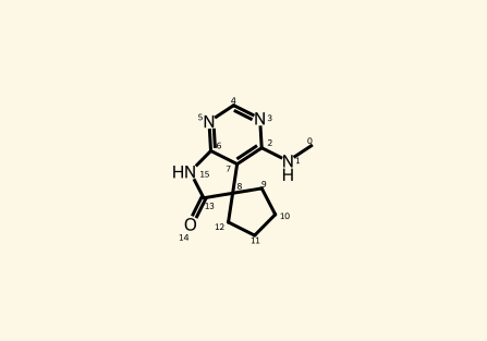 CNc1ncnc2c1C1(CCCC1)C(=O)N2